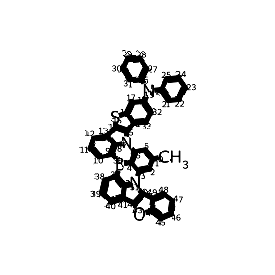 Cc1cc2c3c(c1)-n1c4c(cccc4c4sc5cc(N(c6ccccc6)c6ccccc6)ccc5c41)B3c1cccc3c4oc5ccccc5c4n-2c13